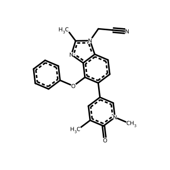 Cc1cc(-c2ccc3c(nc(C)n3CC#N)c2Oc2ccccc2)cn(C)c1=O